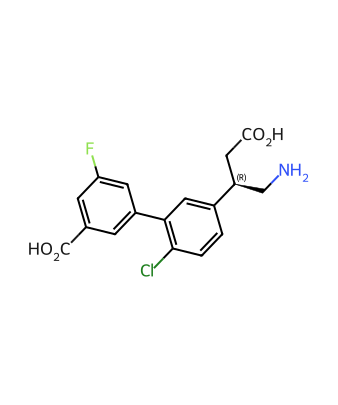 NC[C@H](CC(=O)O)c1ccc(Cl)c(-c2cc(F)cc(C(=O)O)c2)c1